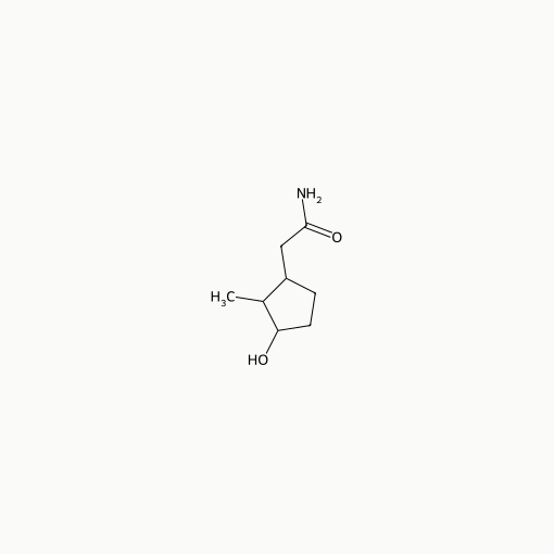 CC1C(O)CCC1CC(N)=O